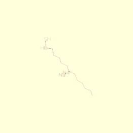 CCCCCCCCCCCCBS.[Na].[Na]